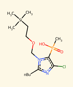 CCCCc1nc(Cl)c(P(C)(=O)O)n1COCC[Si](C)(C)C